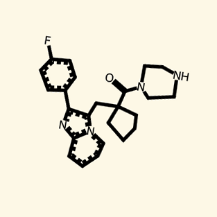 O=C(N1CCNCC1)C1(Cc2c(-c3ccc(F)cc3)nc3ccccn23)CCCC1